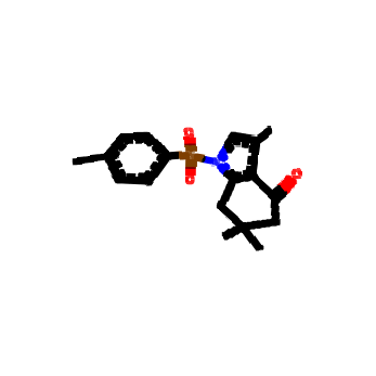 Cc1ccc(S(=O)(=O)n2cc(C)c3c2CC(C)(C)CC3=O)cc1